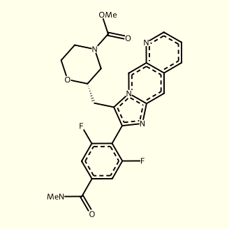 CNC(=O)c1cc(F)c(-c2nc3cc4cccnc4cn3c2C[C@H]2CN(C(=O)OC)CCO2)c(F)c1